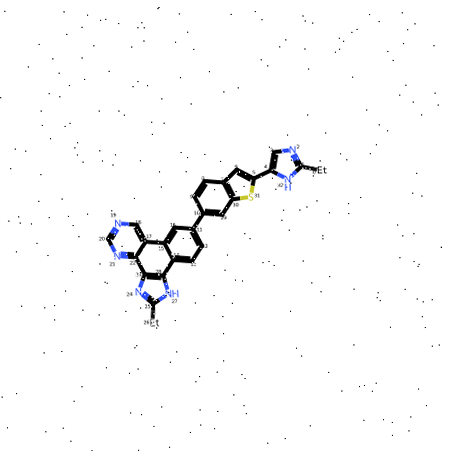 CCc1ncc(-c2cc3ccc(-c4ccc5c(c4)c4cncnc4c4nc(CC)[nH]c54)cc3s2)[nH]1